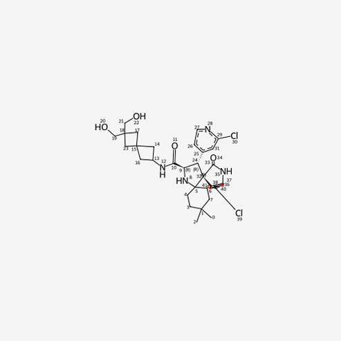 CC1(C)CCC2(CC1)N[C@@H](C(=O)NC1CC3(C1)CC(CO)(CO)C3)[C@H](c1ccnc(Cl)c1)[C@]21C(=O)Nc2cc(Cl)ccc21